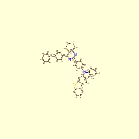 C1=C2Sc3ccccc3C2Cc2c1n(-c1ccc(-c3nc(-c4ccc(-c5ccccc5)cc4)c4c(n3)=CCCC=4)cc1)c1ccccc21